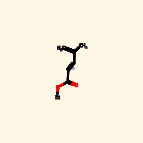 C=C(C)/C=C/C(=O)OCC